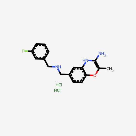 CC1=C(N)Nc2cc(CNCc3cccc(F)c3)ccc2O1.Cl.Cl